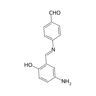 Nc1ccc(O)c(/C=N/c2ccc(C=O)cc2)c1